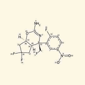 NC1=N[C@](CF)(c2cc([N+](=O)[O-])ccc2F)[C@H]2CC(F)(F)C[C@H]2O1